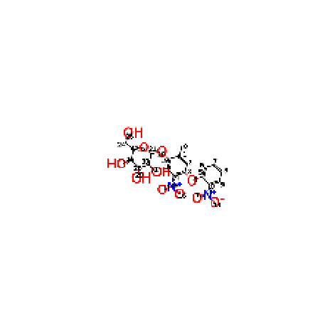 Cc1cc(Oc2ccccc2[N+](=O)[O-])c([N+](=O)[O-])cc1OC1OC(CO)C(O)C(O)C1O